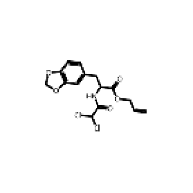 C=CCOC(=O)C(Cc1ccc2c(c1)OCO2)NC(=O)C(Cl)Cl